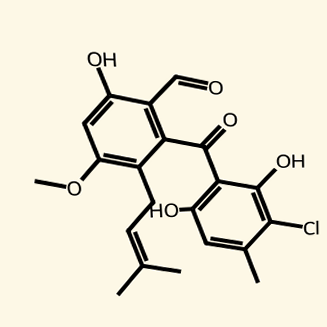 COc1cc(O)c(C=O)c(C(=O)c2c(O)cc(C)c(Cl)c2O)c1CC=C(C)C